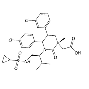 CC(C)[C@@H](CNS(=O)(=O)C1CC1)N1C(=O)[C@@](C)(CC(=O)O)CC(c2cccc(Cl)c2)[C@H]1c1ccc(Cl)cc1